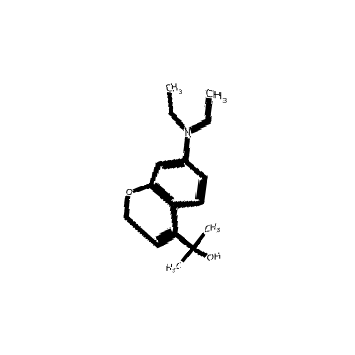 CCN(CC)c1ccc2c(c1)OCC=C2C(C)(C)O